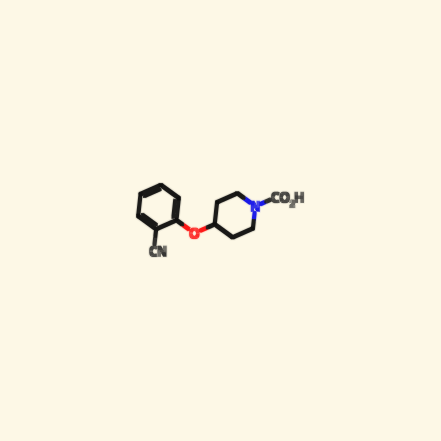 N#Cc1ccccc1OC1CCN(C(=O)O)CC1